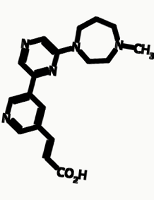 CN1CCCN(c2cncc(-c3cncc(C=CC(=O)O)c3)n2)CC1